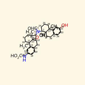 C[C@]1(N(C=O)C(=O)[C@@]2(C)CCC[C@]3(C)c4cc(NC(=O)O)ccc4CC[C@@H]23)CCC[C@]2(C)c3cc(O)ccc3CC[C@@H]12